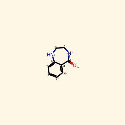 O=C1[N]CCNc2ccccc21